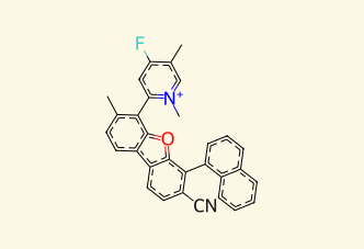 Cc1c[n+](C)c(-c2c(C)ccc3c2oc2c(-c4cccc5ccccc45)c(C#N)ccc23)cc1F